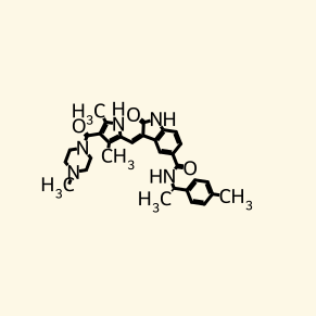 Cc1ccc([C@H](C)NC(=O)c2ccc3c(c2)/C(=C/c2[nH]c(C)c(C(=O)N4CCN(C)CC4)c2C)C(=O)N3)cc1